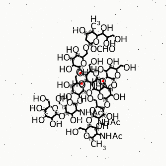 CC(=O)NC1C(O)[C@H](O[C@@H]2OC(CO)[C@H](O)[C@H](O)C2O)[C@H](CO)O[C@H]1OC1[C@@H](OCC2O[C@@H](O[C@@H]3C(CO)O[C@@H](O[C@@H]4C(CO)O[C@@H](C)C(NC(C)=O)[C@H]4O)C(NC(C)=O)[C@H]3O)C(O)[C@@H](O[C@H]3OC(CO)[C@@H](O)C(O)C3O[C@@H]3OC(CO)[C@@H](O[C@@H]4OC(CO[C@]5(OC=O)C[C@@H](O)[C@@H](C)C(C(O)C(O)CO)O5)[C@H](O)[C@H](O)C4O)[C@H](O)C3NC(C)=O)[C@@H]2O)OC(CO)[C@@H](O)[C@@H]1O